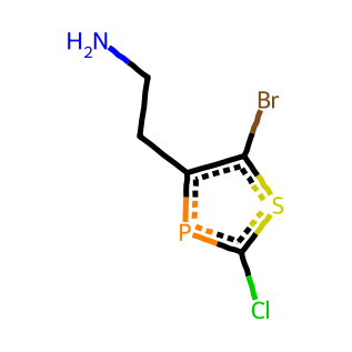 NCCc1pc(Cl)sc1Br